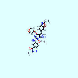 CNC(=O)c1ccc(OC)c(Nc2nc(OC3CCOCC3)c3c(-c4ccc5nc(C)oc5c4)c[nH]c3n2)c1